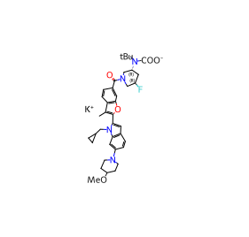 COC1CCN(c2ccc3cc(-c4oc5cc(C(=O)N6C[C@H](F)C[C@@H](N(C(=O)[O-])C(C)(C)C)C6)ccc5c4C)n(CC4CC4)c3c2)CC1.[K+]